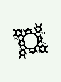 Cc1ccc(C2c3cc(c(O)cc3O)C(c3ccc(C)c(C)c3)c3cc(c(O)cc3O)C(c3ccc(C)c(C)c3)c3cc(c(O)cc3O)C(c3ccc(C)c(C)c3)c3cc2c(O)cc3O)cc1C